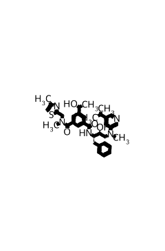 Cc1csc(CN(C)C(=O)c2cc(C(=O)N[C@@H](Cc3ccccc3)[C@H](O)CN(C)c3cncc(C(C)C)c3)cc(C(C)O)c2)n1